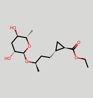 CCOC(=O)[C@@H]1C[C@H]1CC[C@@H](C)O[C@@H]1O[C@@H](C)[C@H](O)C[C@H]1O